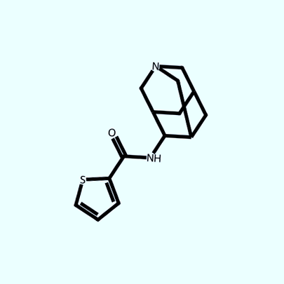 O=C(NC1C2CC3CC1CN(C3)C2)c1cccs1